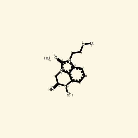 CCOCCn1c(=O)n2c3c(cccc31)N(C)C(=N)C2.Cl